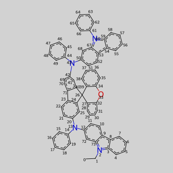 CCn1c2ccccc2c2ccc(N(c3ccccc3)c3ccc4c(c3)C3(c5ccccc5Oc5ccccc53)c3cc(N(c5ccccc5)c5ccc6c7ccccc7n(-c7ccccc7)c6c5)ccc3-4)cc21